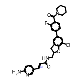 Nc1ccc(/C=C/C(=O)NCC2Cc3cc(-c4ccc(C(=O)N5CCCCC5)c(F)c4)cc(Cl)c3O2)cn1